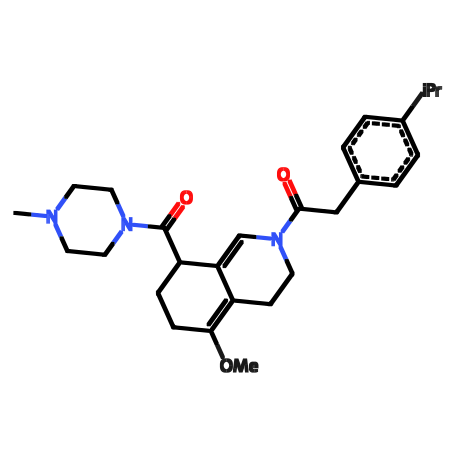 COC1=C2CCN(C(=O)Cc3ccc(C(C)C)cc3)C=C2C(C(=O)N2CCN(C)CC2)CC1